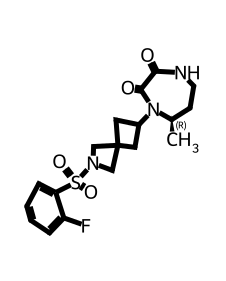 C[C@@H]1CCNC(=O)C(=O)N1C1CC2(C1)CN(S(=O)(=O)c1ccccc1F)C2